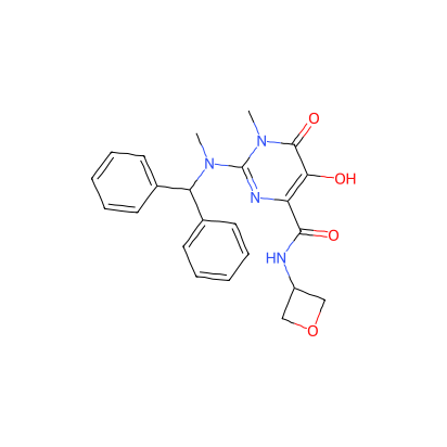 CN(c1nc(C(=O)NC2COC2)c(O)c(=O)n1C)C(c1ccccc1)c1ccccc1